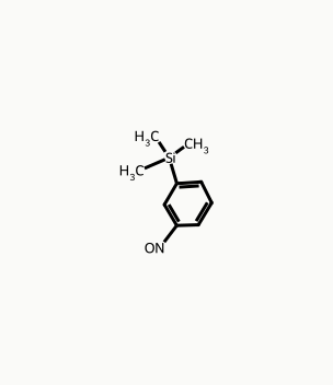 C[Si](C)(C)c1cccc(N=O)c1